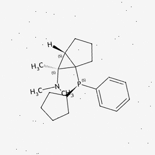 CN(C)[C@@]1(C)[C@@H]2CCCC21[P@@](c1ccccc1)C1CCCC1